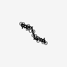 Cc1cc(=O)oc2cc(OC(=O)CC(C)(C)CC(=O)OCCOC(=O)CC(C)(C)CC(=O)Oc3cc4oc(=O)cc(C)c4cc3Br)c(Br)cc12